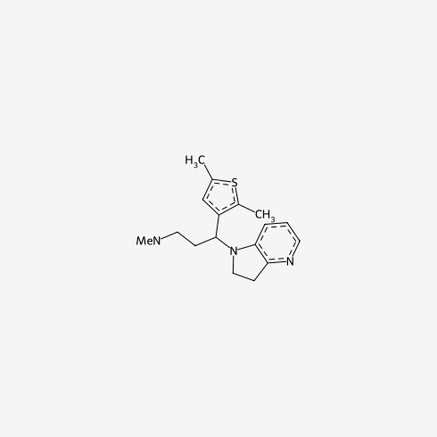 CNCCC(c1cc(C)sc1C)N1CCc2ncccc21